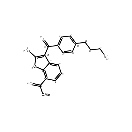 CCCCc1oc2c(C(=O)OC)cccc2c1C(=O)c1ccc(CCCBr)cc1